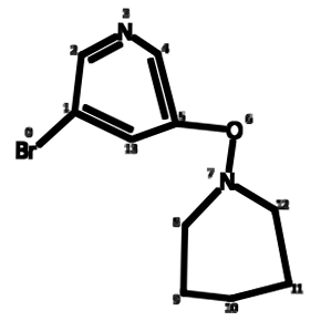 Brc1cncc(ON2CCCCC2)c1